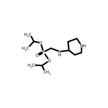 CC(C)OP(=O)(CNC1CCNCC1)OC(C)C